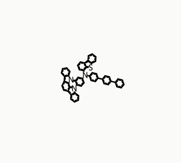 c1ccc(-c2ccc(-c3ccc(N(c4ccc5c(c4)n4c6ccccc6c6ccc7c8ccccc8n5c7c64)c4cccc5c4sc4ccccc45)cc3)cc2)cc1